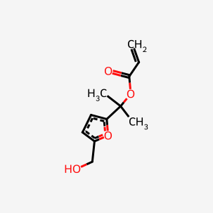 C=CC(=O)OC(C)(C)c1ccc(CO)o1